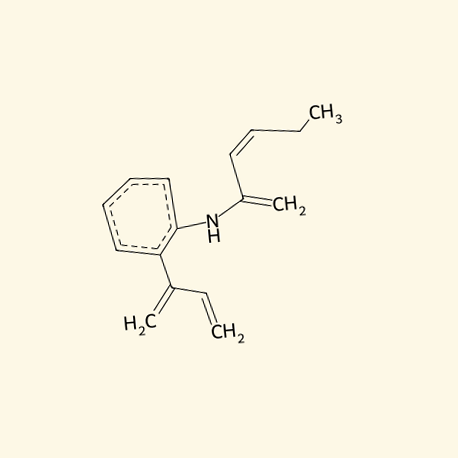 C=CC(=C)c1ccccc1NC(=C)/C=C\CC